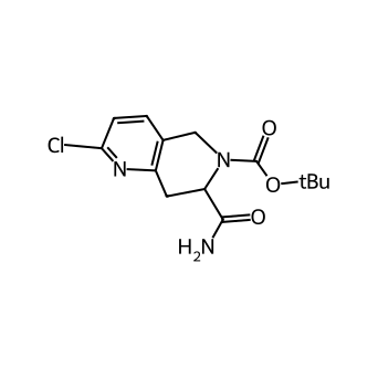 CC(C)(C)OC(=O)N1Cc2ccc(Cl)nc2CC1C(N)=O